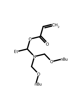 C=CC(=O)OC(CC)N(COCCCC)COCCCC